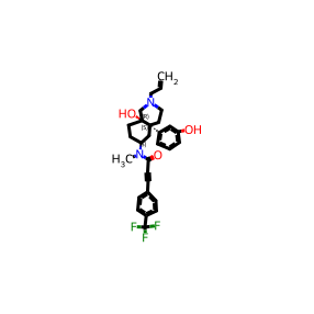 C=CCN1CC[C@@]2(c3cccc(O)c3)C[C@@H](N(C)C(=O)C#Cc3ccc(C(F)(F)F)cc3)CC[C@]2(O)C1